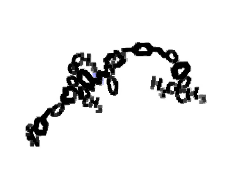 COc1cc(/C=C/C(=O)N2CCN(Cc3ccc(CCOc4ccc(OC(C)C)cc4)cc3)CC2)cc(OC)c1Oc1ccc(OCc2ccc3ncsc3c2)cn1